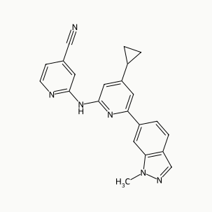 Cn1ncc2ccc(-c3cc(C4CC4)cc(Nc4cc(C#N)ccn4)n3)cc21